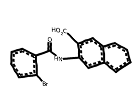 O=C(Nc1cc2ccccc2cc1C(=O)O)c1ccccc1Br